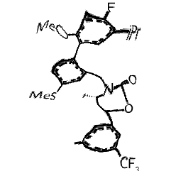 COc1cc(F)c(C(C)C)cc1-c1ccc(SC)cc1CN1C(=O)OC(c2cc(C)cc(C(F)(F)F)c2)[C@@H]1C